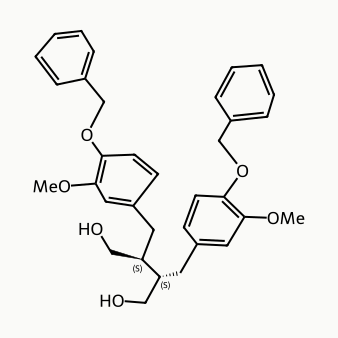 COc1cc(C[C@H](CO)[C@@H](CO)Cc2ccc(OCc3ccccc3)c(OC)c2)ccc1OCc1ccccc1